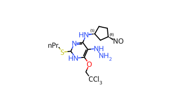 CCCSC1N=C(N[C@H]2CC[C@@H](N=O)C2)C(NN)=C(OCC(Cl)(Cl)Cl)N1